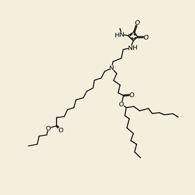 CCCCCCCCC(CCCCCCCC)OC(=O)CCCCN(CCCCCCCCCCCC(=O)OCCCC)CCCNc1c(NC)c(=O)c1=O